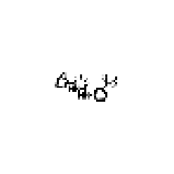 COC(=O)c1cccc(NC(=S)NC(=O)c2ccco2)c1